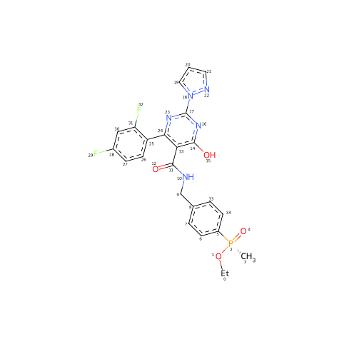 CCO[P@](C)(=O)c1ccc(CNC(=O)c2c(O)nc(-n3cccn3)nc2-c2ccc(F)cc2F)cc1